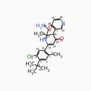 Cc1cc(C(C)(C)C)c(Cl)cc1C1=CC(=O)C(c2cccnc2)C(C)(C(N)=O)N1